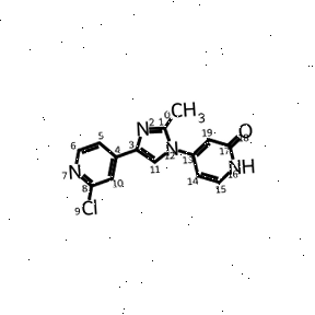 Cc1nc(-c2ccnc(Cl)c2)cn1-c1cc[nH]c(=O)c1